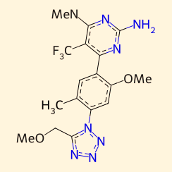 CNc1nc(N)nc(-c2cc(C)c(-n3nnnc3COC)cc2OC)c1C(F)(F)F